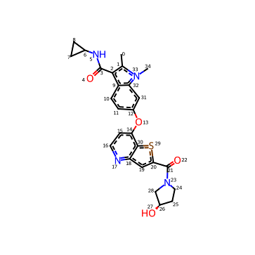 Cc1c(C(=O)NC2CC2)c2ccc(Oc3ccnc4cc(C(=O)N5CC[C@@H](O)C5)sc34)cc2n1C